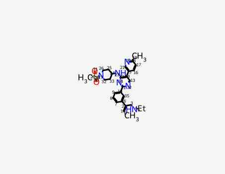 C/C=C(\CNCC)c1cccc(-c2ncc(-c3ccc(C)nc3)c(NC3CCN(S(C)(=O)=O)CC3)n2)c1